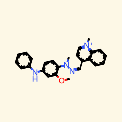 COc1cc(Nc2ccccc2)ccc1N(C)/N=C\c1cc[n+](C)c2ccccc12